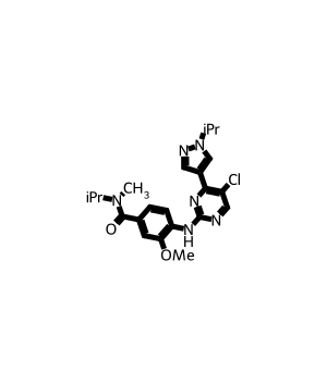 COc1cc(C(=O)N(C)C(C)C)ccc1Nc1ncc(Cl)c(-c2cnn(C(C)C)c2)n1